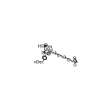 CCCCCCCCCCc1ccc(NC(=O)C(CP(=O)(O)O)NC(=O)CCOCCOCCOCCOCCN2C(=O)C=CC2=O)cc1